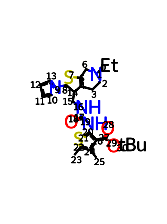 CCN1CCC2=C(C1)SC(n1cccc1)C2CNC(=O)Nc1sc(C)c(C)c1C(=O)OC(C)(C)C